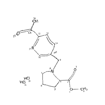 COC(=O)C1CCCN1Cc1ccc(C(=O)O)nc1.Cl.Cl